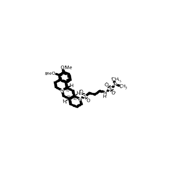 COc1ccc2c(c1OC)CCN1C[C@@H]3CCCN(S(=O)(=O)CCCNS(=O)(=O)N(C)C)[C@@H]3C[C@@H]21